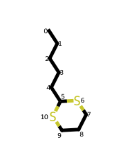 CCCCCC1SCCCS1